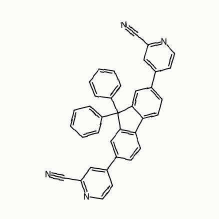 N#Cc1cc(-c2ccc3c(c2)C(c2ccccc2)(c2ccccc2)c2cc(-c4ccnc(C#N)c4)ccc2-3)ccn1